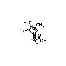 C[C@@H]1CNC[C@H](C)N1C.O=C(O)C(F)(F)F